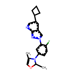 CC1=COC(C)N1c1ccc(F)c(-n2cc3cc(C4CCC4)cnc3n2)c1